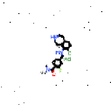 CCCN(C)C(=O)c1ccc(CNc2c(Cl)ccc3c2CCNCC3)cc1F.Cl